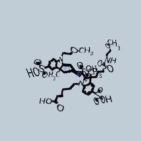 COCCNS(=O)(=O)CCCC1(C)C(/C=C/C=C2/N(CCOC)c3ccc(S(=O)(=O)O)cc3C2(C)CCCS(=O)(=O)O)=[N+](CCCCCC(=O)O)c2ccc(S(=O)(=O)O)cc21